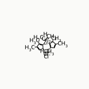 CC1=CC(C)[C]([Zr+2]([C]2=C(C)C=C(C)C2C)[GeH]([CH3])[CH3])=C1C.[Cl-].[Cl-]